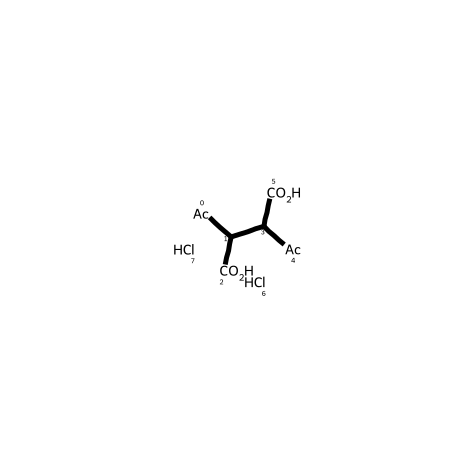 CC(=O)C(C(=O)O)C(C(C)=O)C(=O)O.Cl.Cl